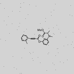 COC(=O)C(C)N(C)c1cccc(OC(=O)C#Cc2ccccc2C)n1